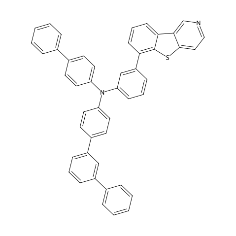 c1ccc(-c2ccc(N(c3ccc(-c4cccc(-c5ccccc5)c4)cc3)c3cccc(-c4cccc5c4sc4ccncc45)c3)cc2)cc1